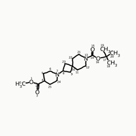 COC(=O)C1CCN(C2CC3(CCN(C(=O)OC(C)(C)C)CC3)C2)CC1